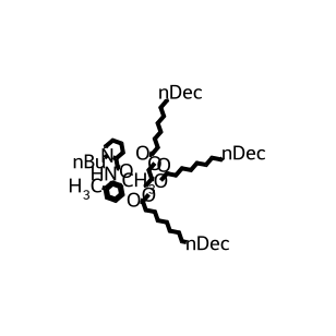 CCCCCCCCCCCCCCCCCC(=O)OCC(COC(=O)CCCCCCCCCCCCCCCCC)OC(=O)CCCCCCCCCCCCCCCCC.CCCCN1CCCCC1C(=O)Nc1c(C)cccc1C